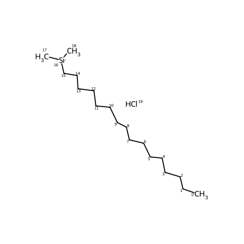 CCCCCCCCCCCCCCCC[Si](C)C.Cl